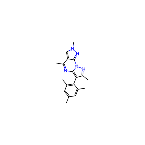 Cc1cc(C)c(-c2c(C)nn3c2nc(C)c2cn(C)nc23)c(C)c1